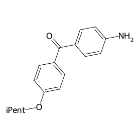 CCCC(C)Oc1ccc(C(=O)c2ccc(N)cc2)cc1